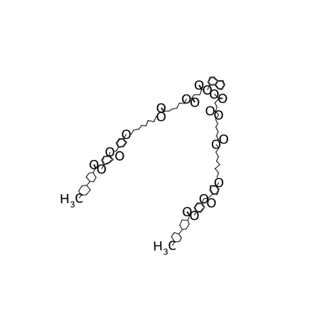 CC1CCC(C2CCC(C(=O)Oc3ccc(OC(=O)c4ccc(OCCCCCCCCOC(=O)CCCCCOC(=O)CCC(=O)Oc5cccc6cccc(OC(=O)CCC(=O)OCCCCCC(=O)OCCCCCCCCOc7ccc(C(=O)Oc8ccc(OC(=O)C9CCC(C%10CCC(C)CC%10)CC9)cc8)cc7)c56)cc4)cc3)CC2)CC1